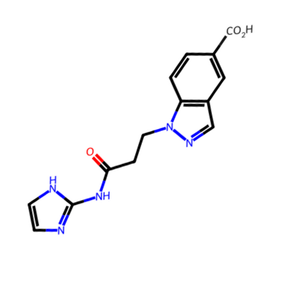 O=C(CCn1ncc2cc(C(=O)O)ccc21)Nc1ncc[nH]1